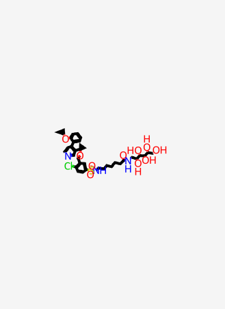 O=C(CCCCCCNS(=O)(=O)c1ccc(Cl)c(COC2(c3cnccc3-c3ccccc3OC3CC3)CC2)c1)NCC(O)C(O)C(O)C(O)CO